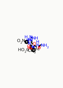 CC(=O)O.COC(=O)[C@](CCCNC(=N)N)(C(=O)Nc1ccc([N+](=O)[O-])cc1)N(C(=O)CNC(=O)CN)C1CCCCC1